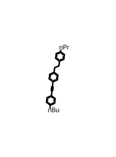 CCCCc1ccc(C#Cc2ccc(CCc3ccc(CCC)cc3)cc2)cc1